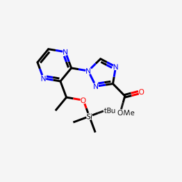 COC(=O)c1ncn(-c2nccnc2C(C)O[Si](C)(C)C(C)(C)C)n1